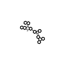 c1ccc2cc3c(cc2c1)Sc1cc(-c2ccc4c(c2)c2ccccc2n4-c2ccc4c5ccccc5c5ccccc5c4c2)ccc1N3c1cccc2ccccc12